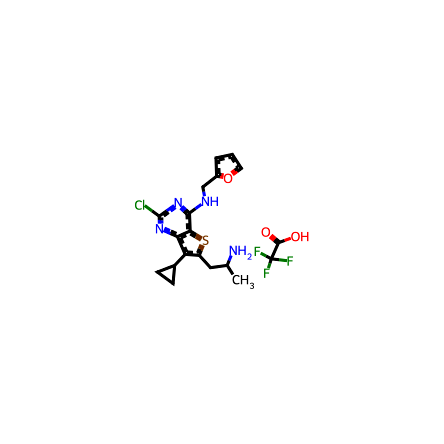 CC(N)Cc1sc2c(NCc3ccco3)nc(Cl)nc2c1C1CC1.O=C(O)C(F)(F)F